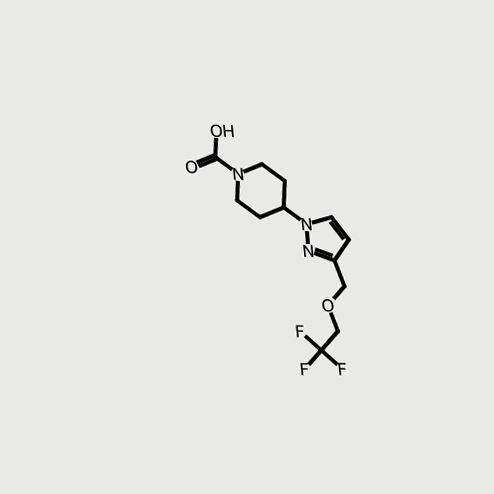 O=C(O)N1CCC(n2ccc(COCC(F)(F)F)n2)CC1